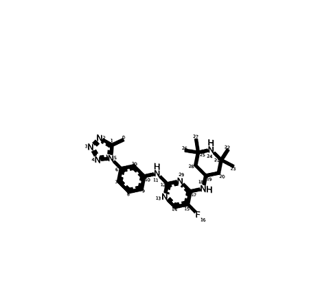 Cc1nnnn1-c1cccc(Nc2ncc(F)c(NC3CC(C)(C)NC(C)(C)C3)n2)c1